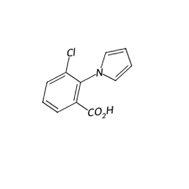 O=C(O)c1cccc(Cl)c1-n1cccc1